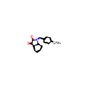 COc1ccc(CN2C(=O)C(=O)C3=CC=CCC32)cc1